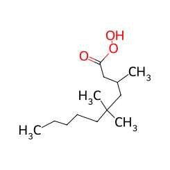 CCCCCC(C)(C)CC(C)CC(=O)OO